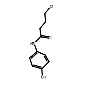 O=C(CCCCl)Nc1ccc(O)cc1